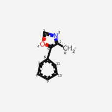 [CH2]c1ncoc1-c1ccccc1